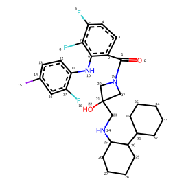 O=C(c1ccc(F)c(F)c1Nc1ccc(I)cc1F)N1CC(O)(CNC2CCCCC2C2CCCCC2)C1